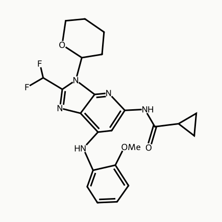 COc1ccccc1Nc1cc(NC(=O)C2CC2)nc2c1nc(C(F)F)n2C1CCCCO1